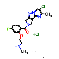 CNCCOc1cc(F)ccc1C(=O)N1Cc2nn3cc(Cl)c(C)nc3c2C1.Cl